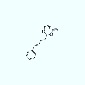 CCCOC(CC/C=C/c1ccccc1)OCCC